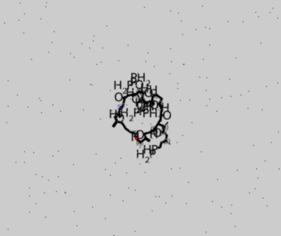 C=C1C[C@@H]2/C=C/C(=O)C[C@H]3O[C@H]4[C@@H](OP(P)P)[C@H]5O[C@H](CC[C@@H]5O[C@H]4[C@H]3OP(P)P)CC(=O)CC3[C@H](CC4O[C@@H](CCC1O2)C[C@@H](C)C4=C)O[C@H](C[C@H](C)CCPP)[C@@H]3C